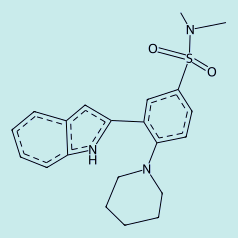 CN(C)S(=O)(=O)c1ccc(N2CCCCC2)c(-c2cc3ccccc3[nH]2)c1